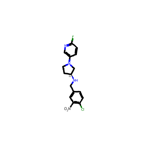 O=[N+]([O-])c1cc(CN[C@H]2CCN(c3ccc(F)nc3)C2)ccc1Cl